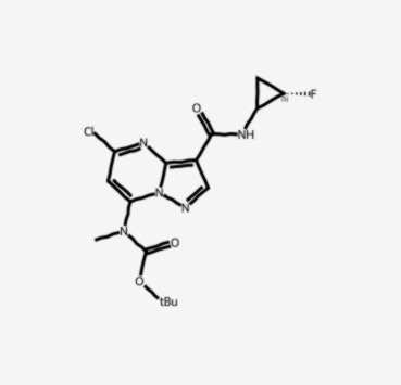 CN(C(=O)OC(C)(C)C)c1cc(Cl)nc2c(C(=O)NC3C[C@@H]3F)cnn12